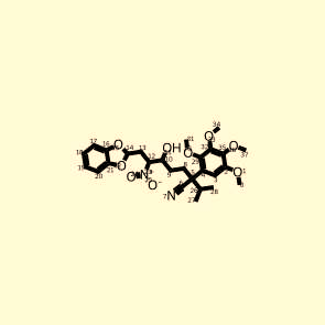 COc1cc(C(C#N)(CCC(O)C(CC2Oc3ccccc3O2)[N+](=O)[O-])C(C)C)c(OC)c(OC)c1OC